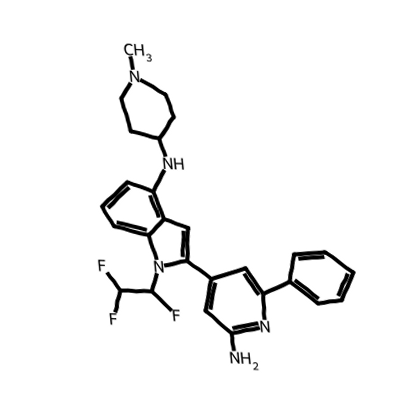 CN1CCC(Nc2cccc3c2cc(-c2cc(N)nc(-c4ccccc4)c2)n3C(F)C(F)F)CC1